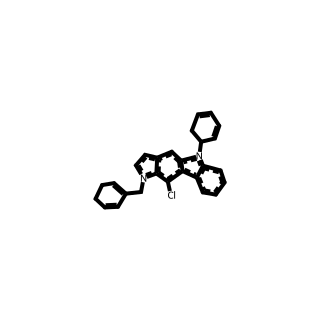 Clc1c2c3ccccc3n(C3C=CC=CC3)c2cc2ccn(CC3=CCCC=C3)c12